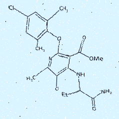 CCC(Nc1c(Cl)c(C)nc(Oc2c(C)cc(Cl)cc2C)c1C(=O)OC)C(N)=O